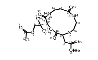 CCC(=O)OCC(C)(C)[C@H]1OC(=O)C(CC(=O)OC)SCCNC(=O)CCNC1=O